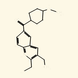 CCc1cc2cc(C(=O)C3CCC(OC)CC3)ccc2nc1CI